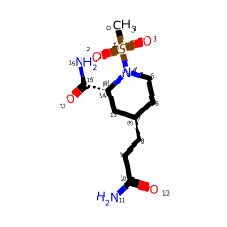 CS(=O)(=O)N1CC[C@@H]([CH]CC(N)=O)C[C@@H]1C(N)=O